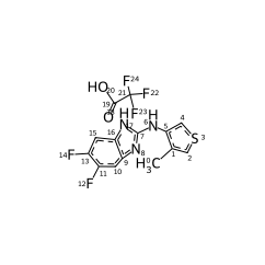 Cc1cscc1Nc1nc2cc(F)c(F)cc2[nH]1.O=C(O)C(F)(F)F